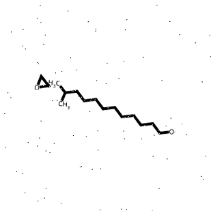 C1CO1.CC(C)CCCCCCCCCC[O]